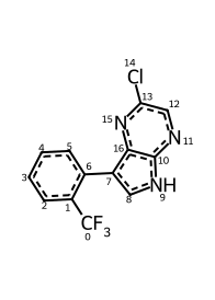 FC(F)(F)c1ccccc1-c1c[nH]c2ncc(Cl)nc12